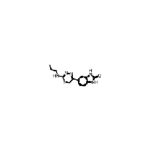 CCCNC1=NN=C(c2ccc3[nH]c(=O)[nH]c3c2)CS1